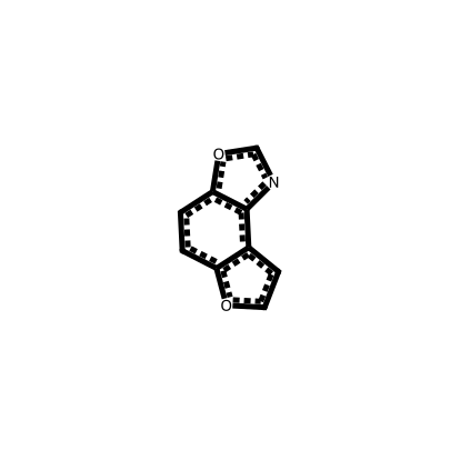 c1cc2c(ccc3ocnc32)o1